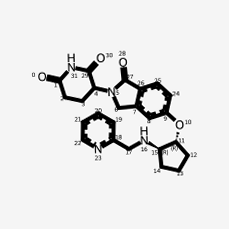 O=C1CCC(N2Cc3cc(O[C@@H]4CCC[C@H]4NCc4ccccn4)ccc3C2=O)C(=O)N1